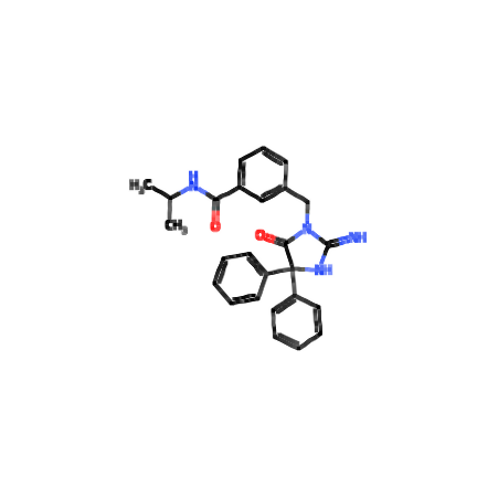 CC(C)NC(=O)c1cccc(CN2C(=N)NC(c3ccccc3)(c3ccccc3)C2=O)c1